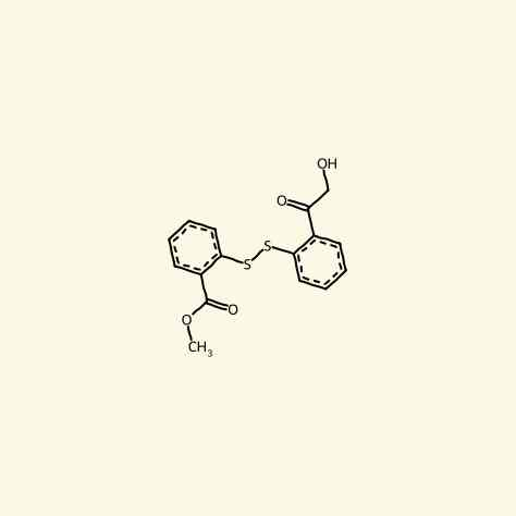 COC(=O)c1ccccc1SSc1ccccc1C(=O)CO